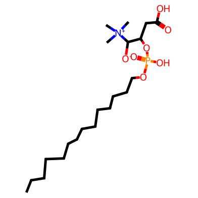 CCCCCCCCCCCCCCOP(=O)(O)OC(CC(=O)O)C([O-])[N+](C)(C)C